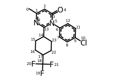 Cc1cc(=O)n(-c2ccc(Cl)cc2)c(C2CCC(C(F)(F)F)CC2)n1